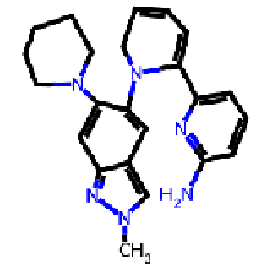 Cn1cc2cc(N3CC=CC=C3c3cccc(N)n3)c(N3CCCCC3)cc2n1